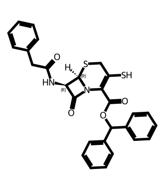 O=C(Cc1ccccc1)N[C@@H]1C(=O)N2C(C(=O)OC(c3ccccc3)c3ccccc3)=C(S)CS[C@H]12